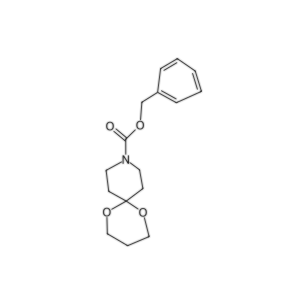 O=C(OCc1ccccc1)N1CCC2(CC1)OCCCO2